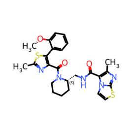 COc1ccccc1-c1sc(C)nc1C(=O)N1CCCC[C@H]1CNC(=O)c1c(C)nc2sccn12